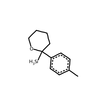 Cc1ccc(C2([SiH3])CCCCO2)cc1